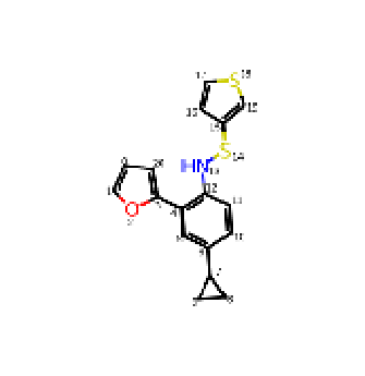 c1coc(-c2cc(C3CC3)ccc2NSc2ccsc2)c1